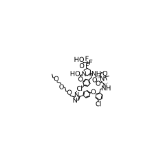 CCOCCOCCOCc1ncc(-c2ccc(Oc3cc(Cl)ccc3CN[C@@H](C)C(=O)N3[C@H](C(=O)N[C@@]4(Cc5ccc(Cl)cc5)CCCN(C(=O)O)C4)COC3(C)C)cc2)n1C.O=C(O)C(F)(F)F